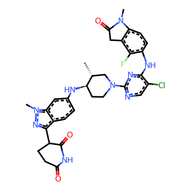 C[C@@H]1CN(c2ncc(Cl)c(Nc3ccc4c(c3F)CC(=O)N4C)n2)CC[C@H]1Nc1ccc2c(C3CCC(=O)NC3=O)nn(C)c2c1